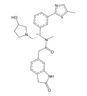 Cc1cnc(-c2cccc([C@@H](CN3CCC(O)C3)N(C)C(=O)Cc3ccc4c(c3)NC(=O)C4)c2)s1